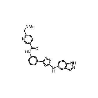 CNCc1ccc(C(=O)Nc2cccc(-c3nnc(Nc4ccc5[nH]ncc5c4)s3)c2)cn1